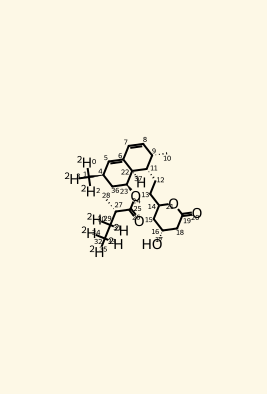 [2H]C([2H])([2H])[C@H]1C=C2C=C[C@H](C)[C@H](CCC3C[C@@H](O)CC(=O)O3)[C@H]2[C@@H](OC(=O)[C@@H](C)C([2H])([2H])C([2H])([2H])[2H])C1